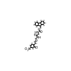 O=C(CNC(=O)OCC1c2ccccc2-c2ccccc21)NCOCCc1ccc([N+](=O)[O-])cc1Cl